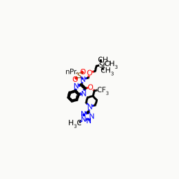 CCCS(=O)(=O)N(COCC[Si](C)(C)C)c1nc2ccccc2nc1OC(C1CCN(c2nnn(C)n2)CC1)C(F)(F)F